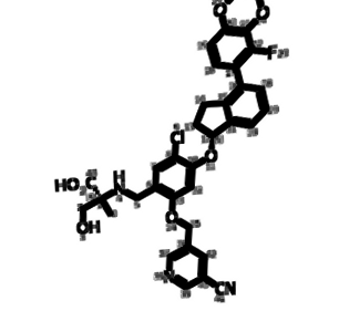 C[C@@](CO)(NCc1cc(Cl)c(O[C@H]2CCc3c(-c4ccc5c(c4F)OCCO5)cccc32)cc1OCc1cncc(C#N)c1)C(=O)O